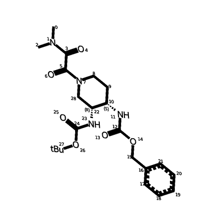 CN(C)C(=O)C(=O)N1CC[C@H](NC(=O)OCc2ccccc2)[C@H](NC(=O)OC(C)(C)C)C1